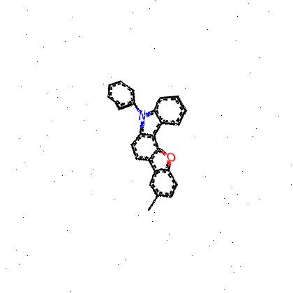 Cc1ccc2oc3c(ccc4c3c3ccccc3n4-c3ccccc3)c2c1